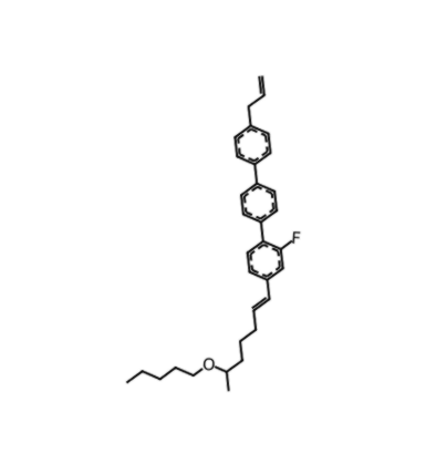 C=CCc1ccc(-c2ccc(-c3ccc(C=CCCCC(C)OCCCCC)cc3F)cc2)cc1